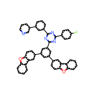 Fc1ccc(-c2nc(-c3cccc(-c4cccnc4)c3)nc(-c3cc(-c4ccc5oc6ccccc6c5c4)cc(-c4ccc5oc6ccccc6c5c4)c3)n2)cc1